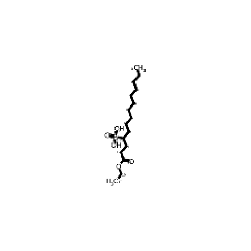 CCCCCCCCCCC(CCC(=O)OCC)P(=O)(O)O